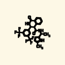 Cc1ccc(C(C)NC(=O)C2c3ccccc3C(=O)NC2c2cc(C(F)(F)F)cc(C(F)(F)F)c2)[nH]1